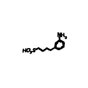 Nc1cccc(CCCCS(=O)(=O)O)c1